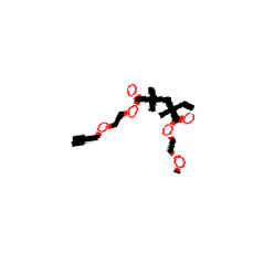 C#CCOCCOC(=O)C(C)(C)CC(C)(CC)C(=O)OCCOC